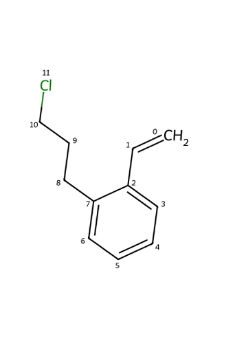 C=Cc1ccccc1CCCCl